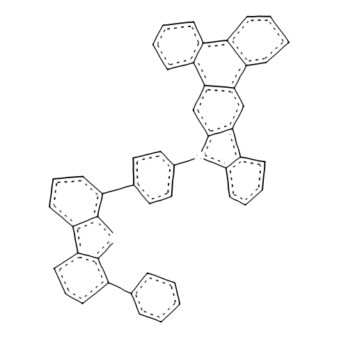 c1ccc(-c2cccc3c2oc2c(-c4ccc(-n5c6ccccc6c6cc7c8ccccc8c8ccccc8c7cc65)cc4)cccc23)cc1